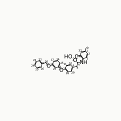 Cc1ccc(NC(=O)Cc2ccc(Oc3cccc(OCc4ccccc4)c3)cc2)c(C(=O)O)c1